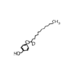 CCCCCCCCCCCCCC(=O)Oc1ccc(CO)cc1